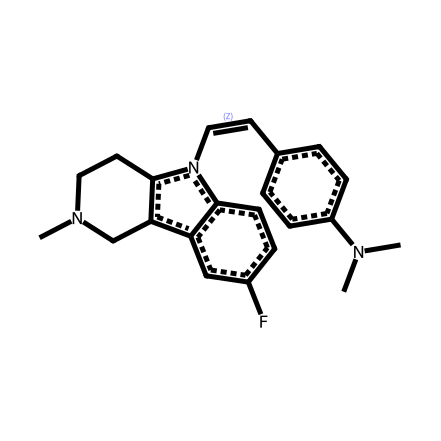 CN1CCc2c(c3cc(F)ccc3n2/C=C\c2ccc(N(C)C)cc2)C1